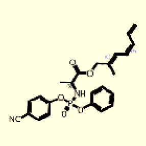 C=C/C=C\C=C(/C)COC(=O)[C@H](C)NP(=O)(Oc1ccccc1)Oc1ccc(C#N)cc1